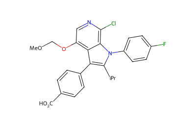 COCOc1cnc(Cl)c2c1c(-c1ccc(C(=O)O)cc1)c(C(C)C)n2-c1ccc(F)cc1